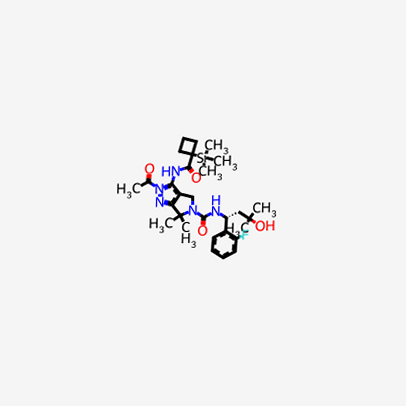 CC(=O)n1nc2c(c1NC(=O)C1([Si](C)(C)C)CCC1)CN(C(=O)N[C@H](CC(C)(C)O)c1ccccc1F)C2(C)C